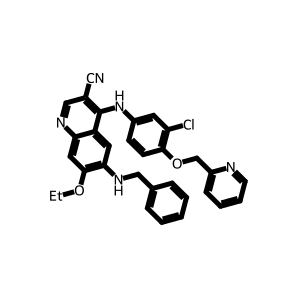 CCOc1cc2ncc(C#N)c(Nc3ccc(OCc4ccccn4)c(Cl)c3)c2cc1NCc1ccccc1